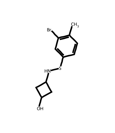 Cc1ccc(SNC2CC(O)C2)cc1Br